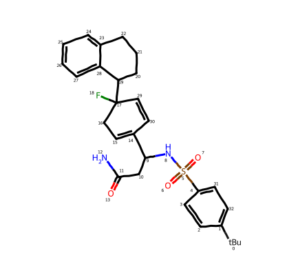 CC(C)(C)c1ccc(S(=O)(=O)NC(CC(N)=O)C2=CCC(F)(C3CCCc4ccccc43)C=C2)cc1